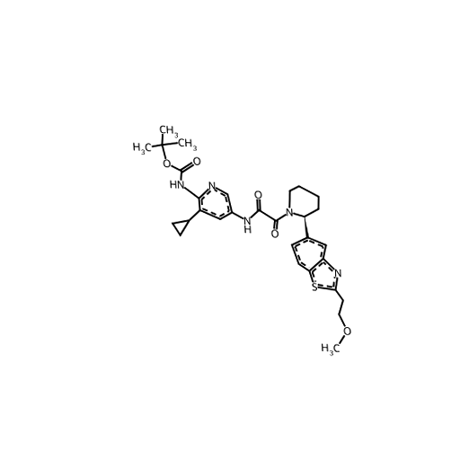 COCCc1nc2cc([C@@H]3CCCCN3C(=O)C(=O)Nc3cnc(NC(=O)OC(C)(C)C)c(C4CC4)c3)ccc2s1